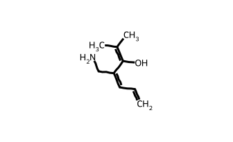 C=C/C=C(/CN)C(O)=C(C)C